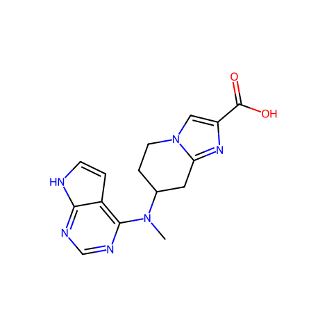 CN(c1ncnc2[nH]ccc12)C1CCn2cc(C(=O)O)nc2C1